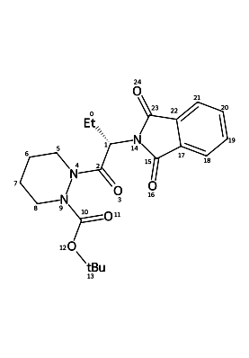 CC[C@@H](C(=O)N1CCCCN1C(=O)OC(C)(C)C)N1C(=O)c2ccccc2C1=O